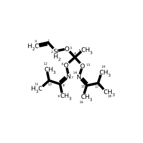 C=C[SiH2]OC(C)(ON=C(C)C(C)C)ON=C(C)C(C)C